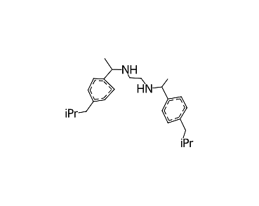 CC(C)Cc1ccc(C(C)NCCNC(C)c2ccc(CC(C)C)cc2)cc1